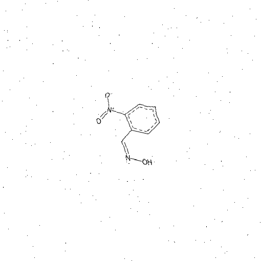 O=[N+]([O-])c1ccccc1/C=N\O